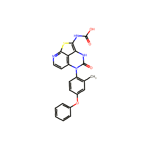 Cc1cc(Oc2ccccc2)ccc1N1C(=O)Nc2c(NC(=O)O)sc3nccc1c23